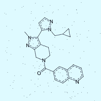 Cn1nc2c(c1-c1ccnn1CC1CC1)CCN(C(=O)c1ccc3ncccc3c1)C2